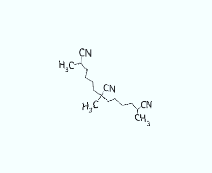 CC(C#N)CCCCC(C)(C#N)CCCCC(C)C#N